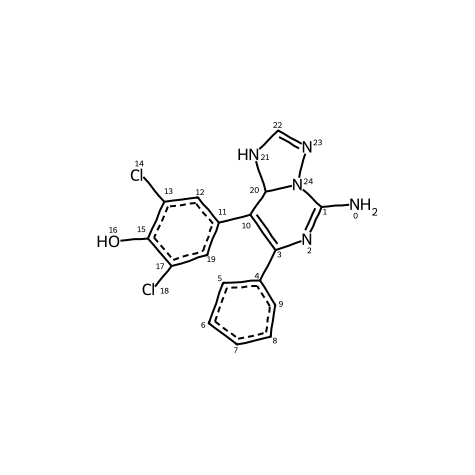 NC1=NC(c2ccccc2)=C(c2cc(Cl)c(O)c(Cl)c2)C2NC=NN12